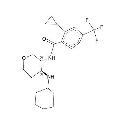 O=C(N[C@H]1COCC[C@@H]1NC1CCCCC1)c1ccc(C(F)(F)F)cc1C1CC1